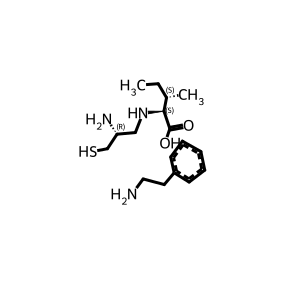 CC[C@H](C)[C@H](NC[C@@H](N)CS)C(=O)O.NCCc1ccccc1